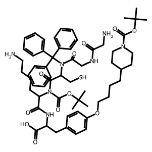 CC(C)(C)OC(=O)N1CCC(CCCCOc2ccc(CC(NC(=O)C(CCCCN)N(C(=O)OC(C)(C)C)C(=O)C(CS)N(C(=O)CNC(=O)CN)C(c3ccccc3)(c3ccccc3)c3ccccc3)C(=O)O)cc2)CC1